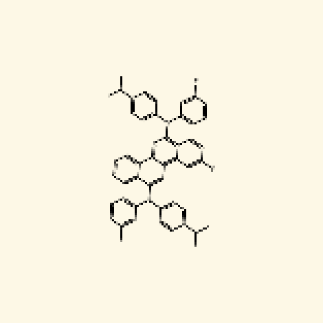 Cc1cccc(N(c2ccc(C(C)C)cc2)c2cc3c4cc(F)ccc4c(N(c4ccc(C(C)C)cc4)c4cccc(F)c4)cc3c3ccccc23)c1